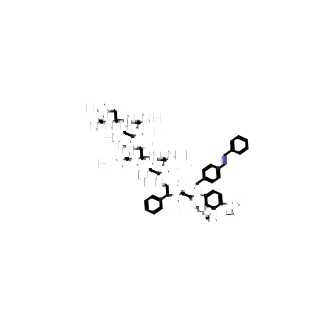 N=C(N)NC(NC(=O)C(NC(=N)N)NC(=O)C(NC(=N)N)NC(=O)C(NC(=N)N)NC(=O)C(NC(=O)C(O)N(Cc1ccc(/C=C/c2ccccc2)cc1)c1ccc([N+](=O)[O-])c2nonc12)c1ccccc1)C(N)=O